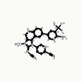 Cn1/c(=N/C#N)n(-c2ccc(C#N)nc2)c2c3cc(-c4cnc(N)c(C(F)(F)F)c4)ccc3ncc21